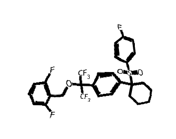 O=S(=O)(c1ccc(F)cc1)C1(c2ccc(C(OCc3c(F)cccc3F)(C(F)(F)F)C(F)(F)F)cc2)CCCCC1